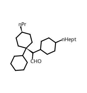 CCCCCCCC1CCC(C(C=O)[C@]2(C3CCCCC3)CC[C@H](CCC)CC2)CC1